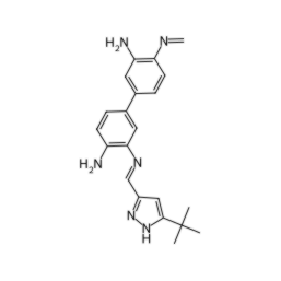 C=Nc1ccc(-c2ccc(N)c(/N=C/c3cc(C(C)(C)C)[nH]n3)c2)cc1N